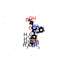 Cc1c(-c2cc(C(=O)N[C@H]3C[C@H](C(=O)O)C3)c(C)n2CC2CCCCC2)ccc(S(=O)(=O)NC(C)(C)C)c1C